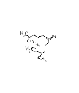 C[CH2][Sn]([CH2]CCN(C)C)[CH2]CCN(C)C